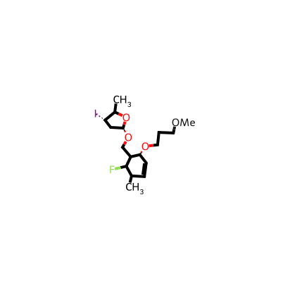 COCCCO[C@@H]1C=CC(C)C(F)C1CO[C@@H]1C[C@H](I)C(C)O1